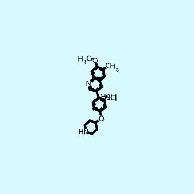 COc1cc2ncc(-c3ccc(OC4CCNCC4)cc3)cc2cc1C.Cl.Cl